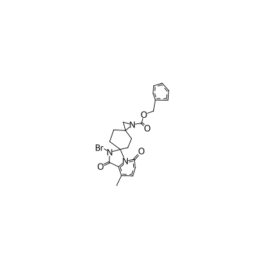 Cc1ccc(=O)n2c1C(=O)N(Br)C21CCC2(CC1)CN2C(=O)OCc1ccccc1